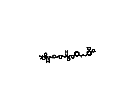 COc1ccc(CC[CH]c2cccc(OCC(=O)NCCOCCOCCNC(=O)OC(C)(C)C)c2)cc1OC